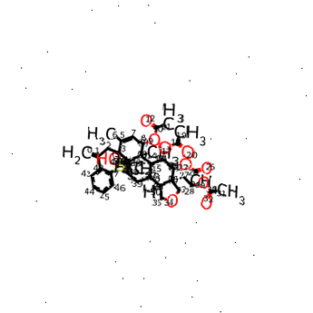 C=C(C[C@@]1(O)C(C)=C[C@@H](OC(C)=O)[C@]2(C)C3[C@H](OC(C)=O)[C@H](OC(C)=O)[C@@]4(CCOC(C)=O)COC[C@H]4[C@]3(C)CC[C@H]21)c1ccccc1SC